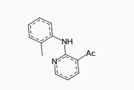 CC(=O)c1cccnc1Nc1ccccc1C